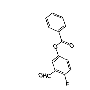 O=Cc1cc(OC(=O)c2ccccc2)ccc1F